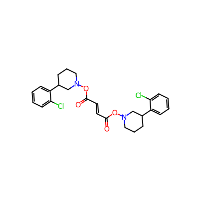 O=C(/C=C/C(=O)ON1CCCC(c2ccccc2Cl)C1)ON1CCCC(c2ccccc2Cl)C1